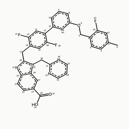 Cc1ccc(COc2cccc(-c3cc(F)c(Cc4nc5ccc(C(=O)O)cc5n4Cc4ncccn4)cc3F)n2)c(F)c1